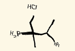 CCCC(C)C(C)(C)P.Cl